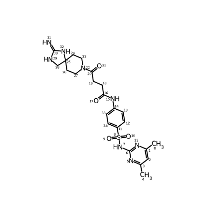 Cc1cc(C)nc(NS(=O)(=O)c2ccc(NC(=O)CCC(=O)N3CCC4(CC3)CNC(=N)N4)cc2)n1